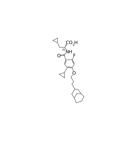 O=C(N[C@@H](CC1CC1)C(=O)O)c1cc(C2CC2)c(OCCCC2CC3CCCC(C2)C3)cc1F